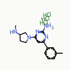 CNC1CCN(c2cc(-c3cccc(C)c3)nc(N)n2)C1.Cl.Cl.Cl